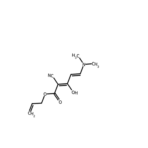 C=CCOC(=O)/C(C#N)=C(O)/C=C/N(C)C